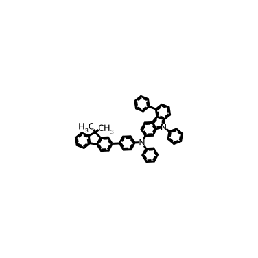 CC1(C)c2ccccc2-c2ccc(-c3ccc(N(c4ccccc4)c4ccc5c6c(-c7ccccc7)cccc6n(-c6ccccc6)c5c4)cc3)cc21